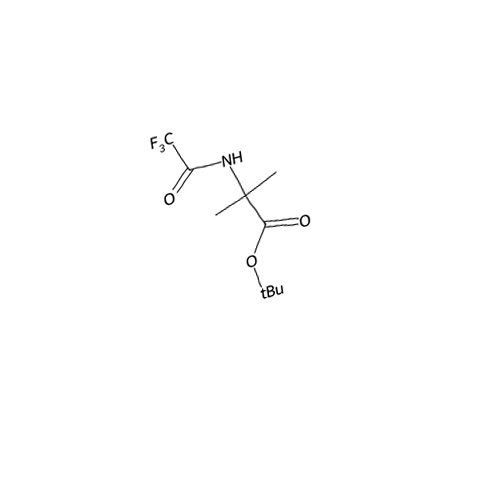 CC(C)(C)OC(=O)C(C)(C)NC(=O)C(F)(F)F